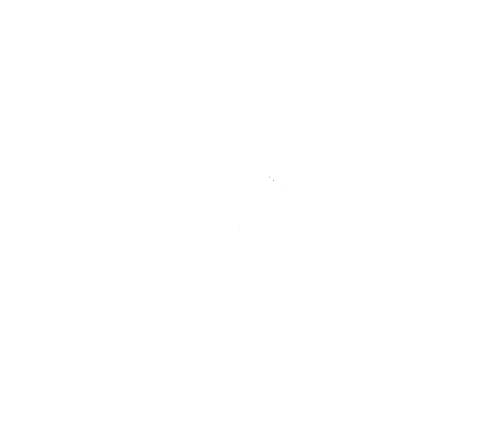 NC1(OC(=O)C(F)(F)F)CCCC1